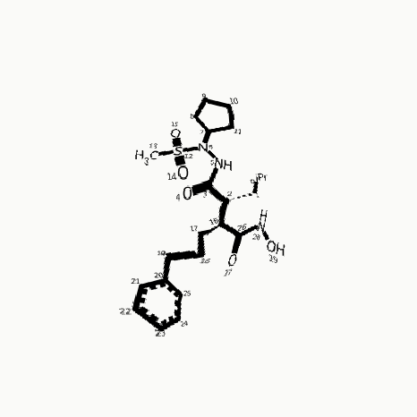 CC(C)C[C@@H](C(=O)NN(C1CCCC1)S(C)(=O)=O)[C@H](CC=Cc1ccccc1)C(=O)NO